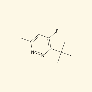 Cc1cc(F)c(C(C)(C)C)nn1